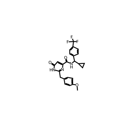 COc1ccc(Cc2nc(C(=O)NC(c3ccc(C(F)(F)F)cc3)C3CC3)cc(=O)[nH]2)cc1